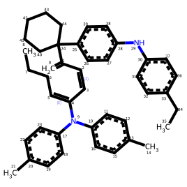 C=C(/C=C\C(=C/CCC)N(c1ccc(C)cc1)c1ccc(C)cc1)C1(c2ccc(Nc3ccc(CC)cc3)cc2)CCCCC1